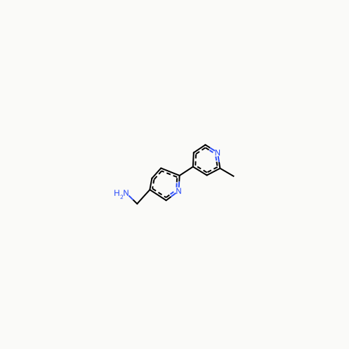 Cc1cc(-c2ccc(CN)cn2)ccn1